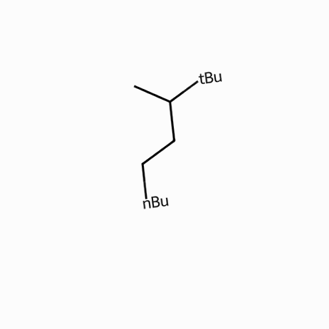 CCCCCCC(C)C(C)(C)C